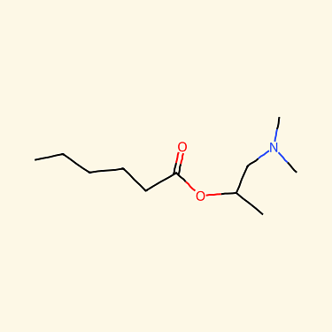 CCCCCC(=O)OC(C)CN(C)C